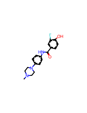 CN1CCN(c2ccc(NC(=O)c3ccc(O)c(F)c3)cc2)CC1